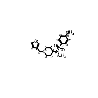 CN(C1CCN(Cc2ccsc2)CC1)S(=O)(=O)c1ccc(N)cc1